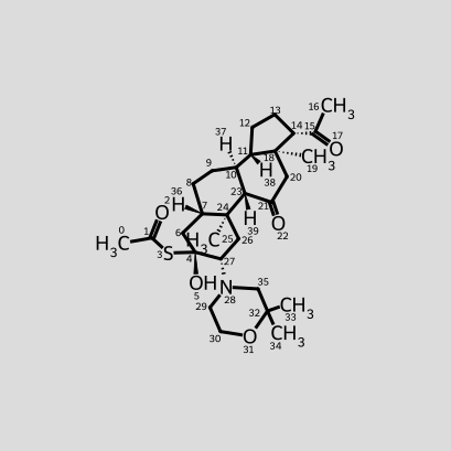 CC(=O)S[C@]1(O)C[C@@H]2CC[C@H]3[C@@H]4CC[C@H](C(C)=O)[C@@]4(C)CC(=O)[C@@H]3[C@@]2(C)C[C@@H]1N1CCOC(C)(C)C1